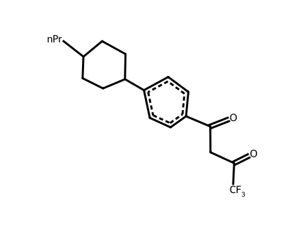 CCCC1CCC(c2ccc(C(=O)CC(=O)C(F)(F)F)cc2)CC1